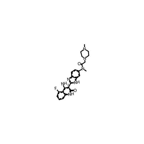 CN1CCN(CC(=O)N(C)c2ccc3nc(-c4c(N)c5c(F)cccc5[nH]c4=O)[nH]c3c2)CC1